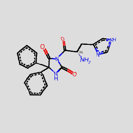 N[C@@H](Cc1c[nH]cn1)C(=O)N1C(=O)NC(c2ccccc2)(c2ccccc2)C1=O